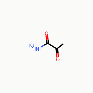 CC(=O)C(=O)[NH+]=[N-]